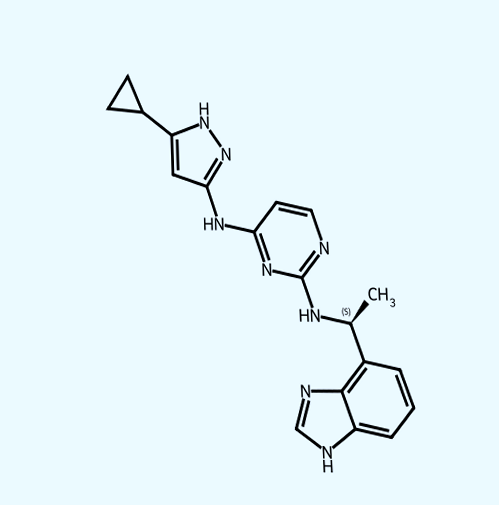 C[C@H](Nc1nccc(Nc2cc(C3CC3)[nH]n2)n1)c1cccc2[nH]cnc12